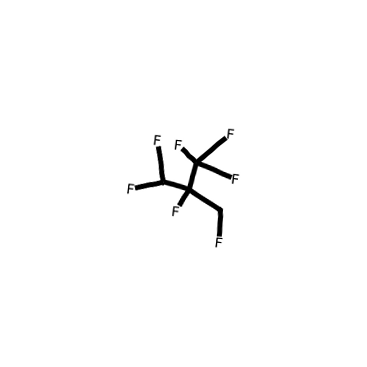 FCC(F)([C](F)F)C(F)(F)F